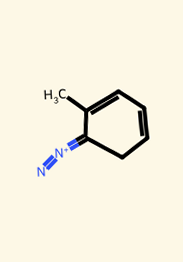 CC1=CC=CCC1=[N+]=[N-]